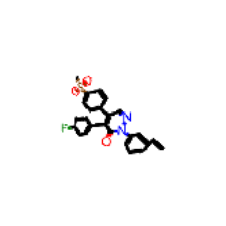 C=Cc1cccc(-n2ncc(-c3ccc(S(C)(=O)=O)cc3)c(-c3ccc(F)cc3)c2=O)c1